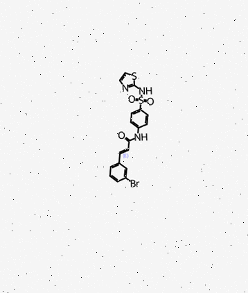 O=C(/C=C/c1cccc(Br)c1)Nc1ccc(S(=O)(=O)Nc2nccs2)cc1